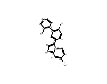 Fc1cnccc1-c1cc(-c2cnc3nc(C(F)(F)F)ccn23)ccc1F